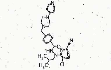 CC(C)CN(NC(=O)c1ccc(CN2CCN(c3ccncc3)CC2)cc1)c1nc(C#N)ncc1Cl